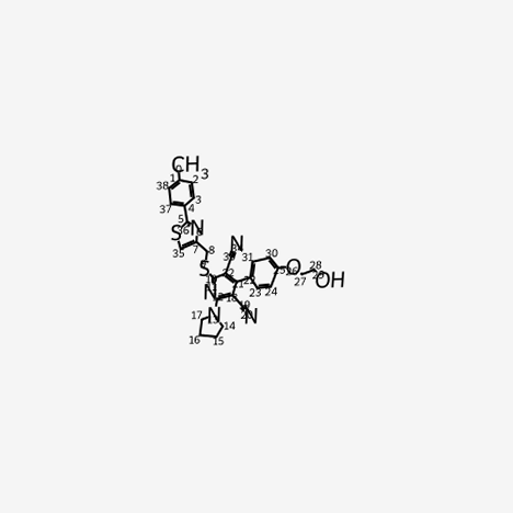 Cc1ccc(-c2nc(CSc3nc(N4CCCC4)c(C#N)c(-c4ccc(OCCO)cc4)c3C#N)cs2)cc1